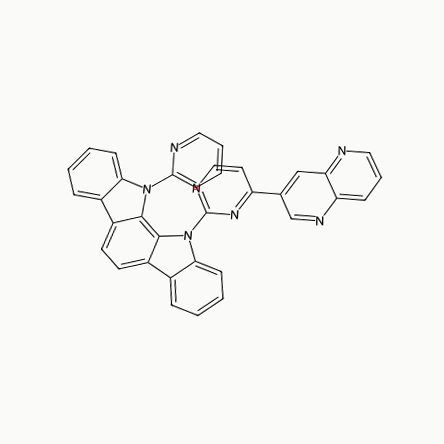 c1ccc(-n2c3ccccc3c3ccc4c5ccccc5n(-c5nccc(-c6cnc7cccnc7c6)n5)c4c32)nc1